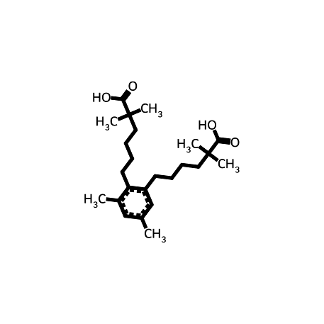 Cc1cc(C)c(CCCCC(C)(C)C(=O)O)c(CCCCC(C)(C)C(=O)O)c1